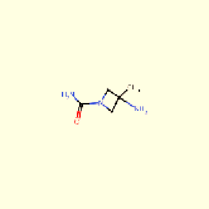 CC1(N)CN(C(N)=O)C1